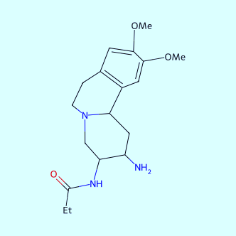 CCC(=O)NC1CN2CCc3cc(OC)c(OC)cc3C2CC1N